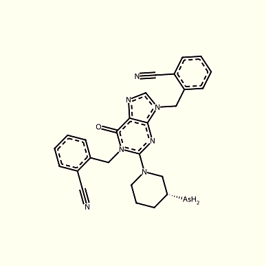 N#Cc1ccccc1Cn1c(N2CCC[C@@H]([AsH2])C2)nc2c(ncn2Cc2ccccc2C#N)c1=O